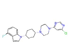 Fc1cccc2c1ccn2[C@H]1CC[C@@H](N2CCN(c3cc(Cl)ncn3)CC2)CC1